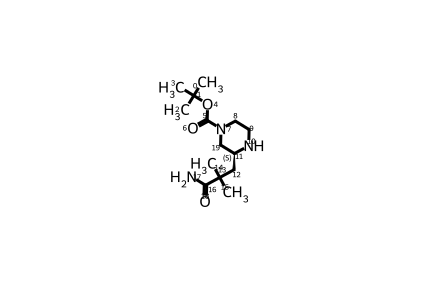 CC(C)(C)OC(=O)N1CCN[C@@H](CC(C)(C)C(N)=O)C1